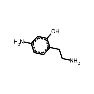 NCCc1ccc(N)cc1O